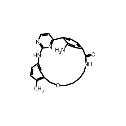 Cc1ccc2cc1COCCCCNC(=O)c1ccc(c(N)c1)-c1ccnc(n1)N2